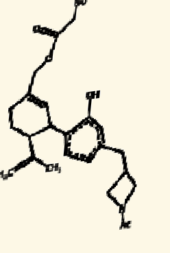 C=C(C)C1CCC(COC(=O)CN=O)=CC1c1ccc(CC2CN(C(C)=O)C2)cc1O